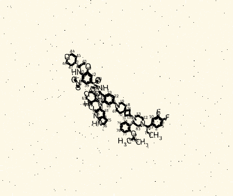 CC[C@H](c1ccc(F)c(F)c1)N1CCN(C2CC3(CCN(c4ccc(C(=O)NS(=O)(=O)c5cc6c(c([N+](=O)[O-])c5)N[C@H](C5CCOCC5)CO6)c(N5c6cc7cc[nH]c7nc6O[C@H]6COCC[C@@H]65)c4)CC3)C2)[C@H](c2ccccc2OC(C)C)C1